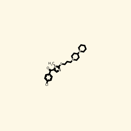 Cn1c(C(=O)c2ccc(Cl)cc2)cnc1SCCCN1CCC(N2CCCCC2)CC1